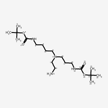 CC(C)(C)OC(=O)NCCCCN(CCN)CCCNC(=O)OC(C)(C)C